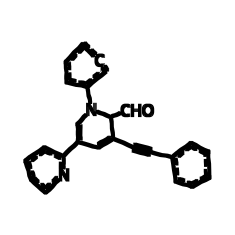 O=CC1C(C#Cc2ccccc2)=CC(c2ccccn2)=CN1c1ccccc1